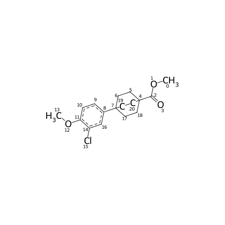 COC(=O)C12CCC(c3ccc(OC)c(Cl)c3)(CC1)CC2